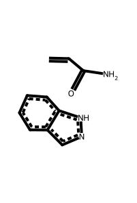 C=CC(N)=O.c1ccc2[nH]ncc2c1